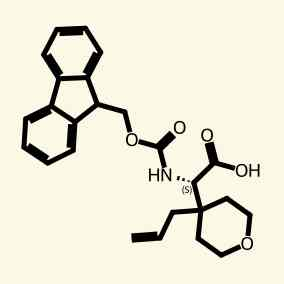 C=CCC1([C@H](NC(=O)OCC2c3ccccc3-c3ccccc32)C(=O)O)CCOCC1